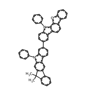 CC1(C)c2ccccc2-c2cc3c4ccc(-c5ccc6c(c5)c5ccc7c8ccccc8oc7c5n6-c5ccccc5)cc4n(-c4ccccc4)c3cc21